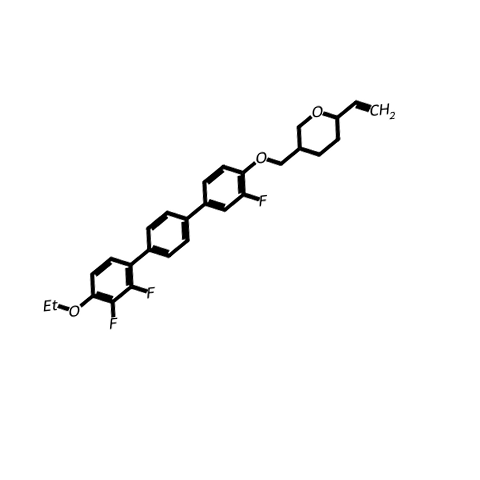 C=CC1CCC(COc2ccc(-c3ccc(-c4ccc(OCC)c(F)c4F)cc3)cc2F)CO1